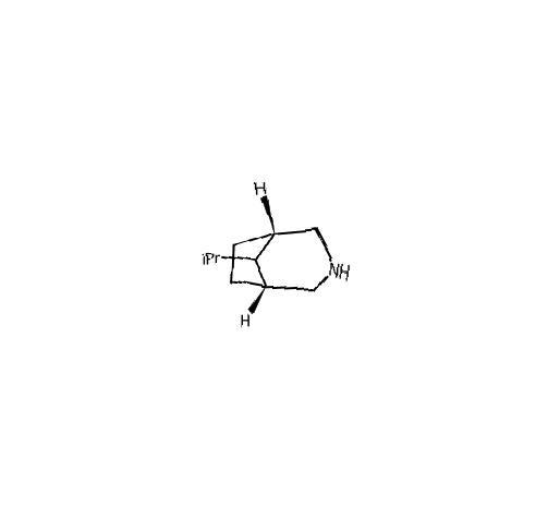 CC(C)C1[C@@H]2CC[C@H]1CNC2